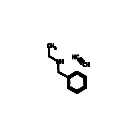 C#C.CCNCc1ccccc1